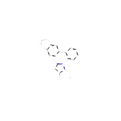 Cc1cc(C(=O)O)c(C)n1-c1ccccc1-c1ccc2c(c1)CCO2